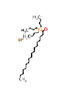 CCCCCCCCCCCCCCCCCC(=O)[P+](CCCC)(CCCC)CCCC.[Br-]